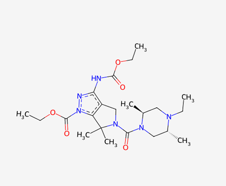 CCOC(=O)Nc1nn(C(=O)OCC)c2c1CN(C(=O)N1C[C@@H](C)N(CC)C[C@@H]1C)C2(C)C